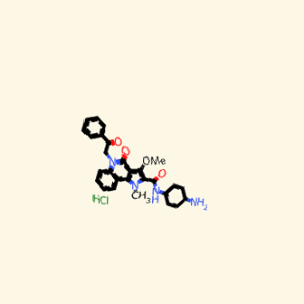 COc1c(C(=O)NC2CCC(N)CC2)n(C)c2c1c(=O)n(CC(=O)c1ccccc1)c1ccccc21.Cl